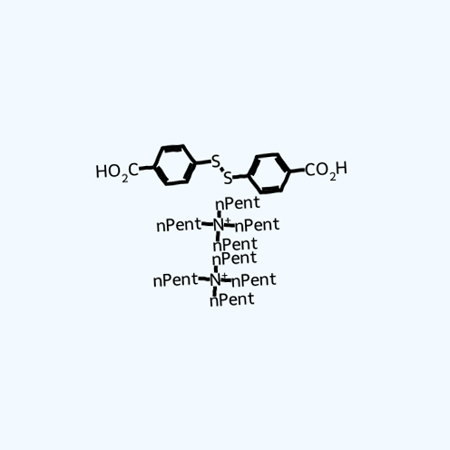 CCCCC[N+](CCCCC)(CCCCC)CCCCC.CCCCC[N+](CCCCC)(CCCCC)CCCCC.O=C(O)c1ccc(SSc2ccc(C(=O)O)cc2)cc1